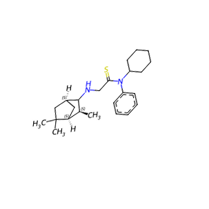 C[C@@H]1C(NCC(=S)N(c2ccccc2)C2CCCCC2)[C@H]2C[C@@H]1C(C)(C)C2